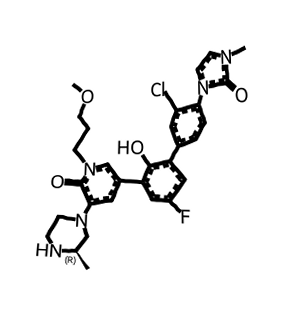 COCCCn1cc(-c2cc(F)cc(-c3ccc(-n4ccn(C)c4=O)c(Cl)c3)c2O)cc(N2CCN[C@H](C)C2)c1=O